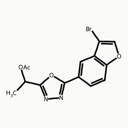 CC(=O)OC(C)c1nnc(-c2ccc3occ(Br)c3c2)o1